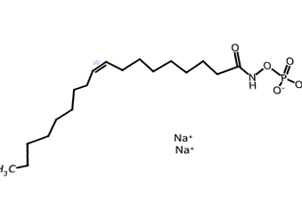 CCCCCCCC/C=C\CCCCCCCC(=O)NOP(=O)([O-])[O-].[Na+].[Na+]